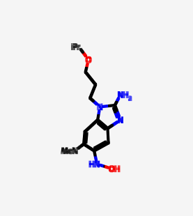 CNc1cc2c(cc1NO)nc(N)n2CCCOC(C)C